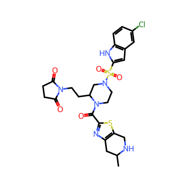 CC1Cc2nc(C(=O)N3CCN(S(=O)(=O)c4cc5cc(Cl)ccc5[nH]4)CC3CCN3C(=O)CCC3=O)sc2CN1